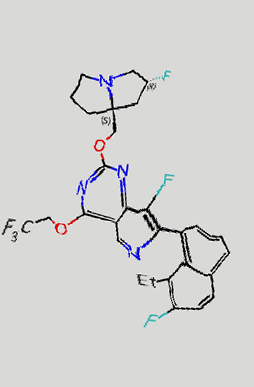 CCc1c(F)ccc2cccc(-c3ncc4c(OCC(F)(F)F)nc(OC[C@@]56CCCN5C[C@H](F)C6)nc4c3F)c12